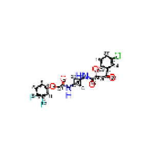 O=C(COc1ccc(F)c(F)c1)NC12CC(NC(=O)[C@H]3CC(=O)c4cc(Cl)ccc4O3)(C1)C2